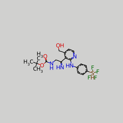 CC(C)(C)OC(=O)NCC(=N)c1c(CO)ccnc1Nc1ccc([SH](F)(F)(F)F)cc1